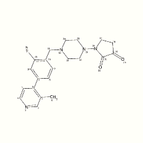 Cc1cnccc1-c1ccc(CN2CCN(N3CCC(=O)C3=O)CC2)c(F)c1